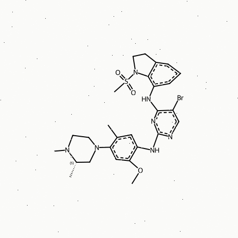 COc1cc(N2CCN(C)[C@@H](C)C2)c(C)cc1Nc1ncc(Br)c(Nc2cccc3c2N(S(C)(=O)=O)CC3)n1